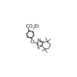 CCOC(=O)c1ccc(Oc2nc3c(s2)C(C)(C)CCC3(C)C)cc1